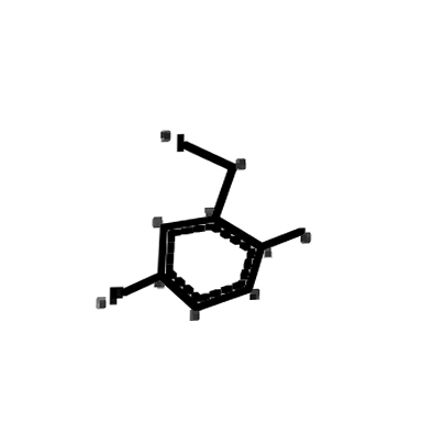 Cc1ccc(F)cc1CI